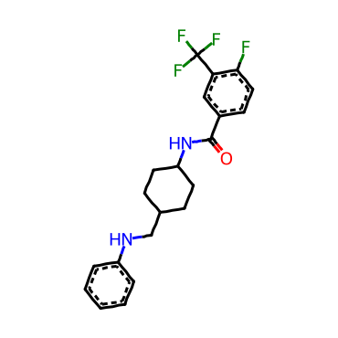 O=C(NC1CCC(CNc2ccccc2)CC1)c1ccc(F)c(C(F)(F)F)c1